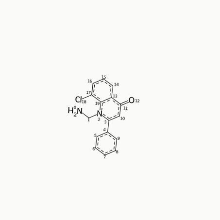 NCn1c(-c2ccccc2)cc(=O)c2cccc(Cl)c21